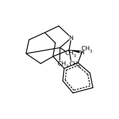 Cc1ccccc1C12CC3CC(C1)C(C)(C)N(C3)[C@@H]2C